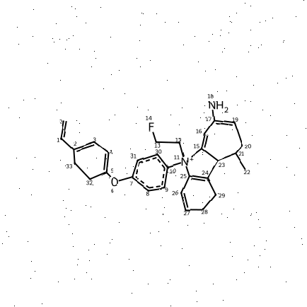 C=CC1=CC=C(Oc2ccc([N+]3(CCF)C4=CC(N)=CCC(C)C4C4=C3C=CCC4)cc2)CC1